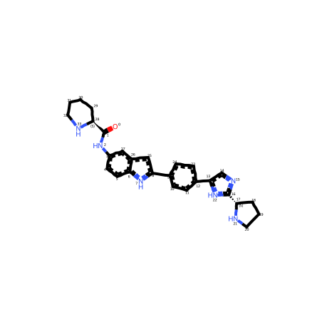 O=C(Nc1ccc2[nH]c(-c3ccc(-c4cnc([C@@H]5CCCN5)[nH]4)cc3)cc2c1)[C@@H]1CCCCN1